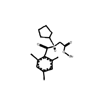 Cc1cc(C)c(C(=O)P(=O)(CC(=O)OC(C)(C)C)C2CCCC2)c(C)c1